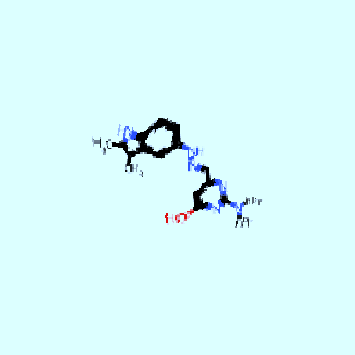 CCCN(CCC)c1nc(O)cc(/C=N/Nc2ccc3[nH]c(C)c(C)c3c2)n1